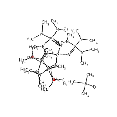 CN(C)P(=N[P+](N=P(N(C)C)(N(C)C)N(C)C)(N=P(N(C)C)(N(C)C)N(C)C)N=P(N(C)C)(N(C)C)N(C)C)(N(C)C)N(C)C.C[Si](C)(C)[O-]